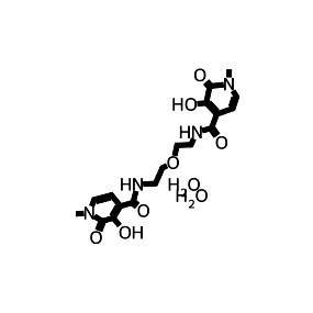 Cn1ccc(C(=O)NCCOCCNC(=O)c2ccn(C)c(=O)c2O)c(O)c1=O.O.O